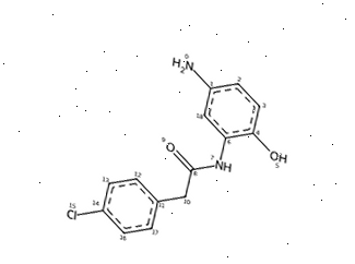 Nc1ccc(O)c(NC(=O)Cc2ccc(Cl)cc2)c1